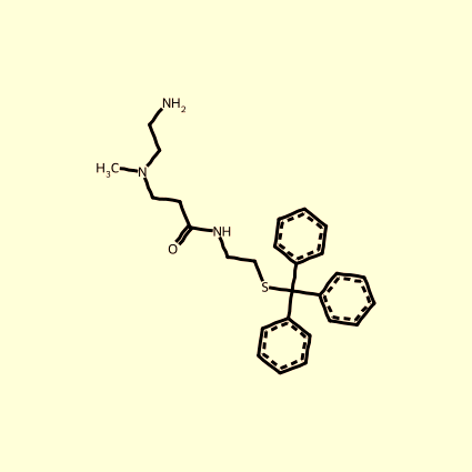 CN(CCN)CCC(=O)NCCSC(c1ccccc1)(c1ccccc1)c1ccccc1